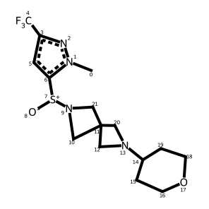 Cn1nc(C(F)(F)F)cc1[S+]([O-])N1CC2(CN(C3CCOCC3)C2)C1